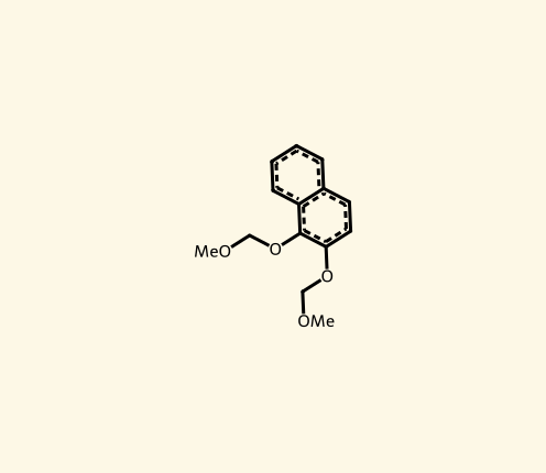 COCOc1ccc2ccccc2c1OCOC